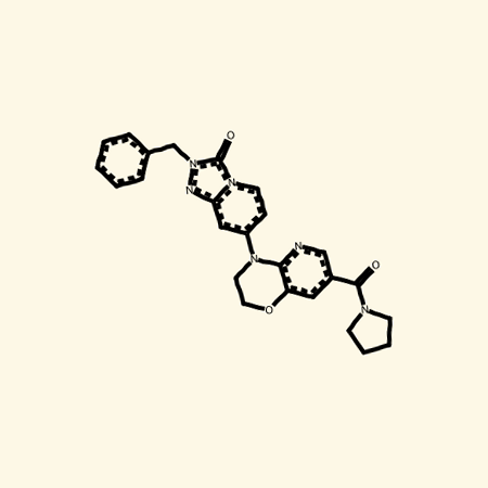 O=C(c1cnc2c(c1)OCCN2c1ccn2c(=O)n(Cc3ccccc3)nc2c1)N1CCCC1